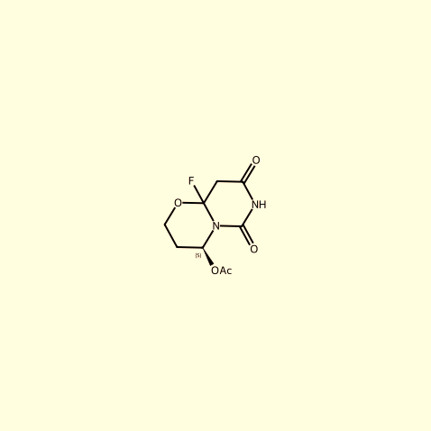 CC(=O)O[C@H]1CCOC2(F)CC(=O)NC(=O)N12